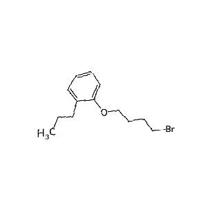 CCCc1ccccc1OCCCCBr